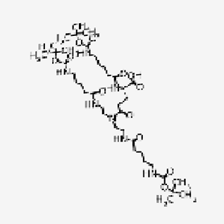 CC(C)(C)OC(=O)NCCCCC(=O)NCCN(CCNC(=O)CCCCNC(=O)OC(C)(C)C)C(=O)CC[C@H](NC(=O)CCCCNC(=O)OC(C)(C)C)C(=O)O